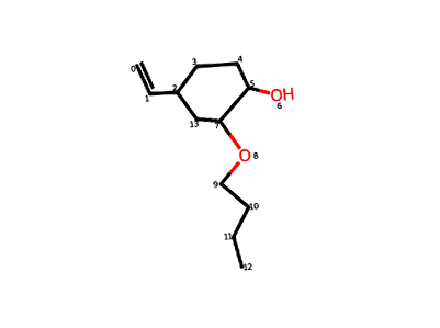 C=CC1CCC(O)C(OCCCC)C1